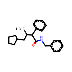 O=C(O)C(CC1CCCC1)C(C(=O)NCc1ccccc1)c1ccccc1